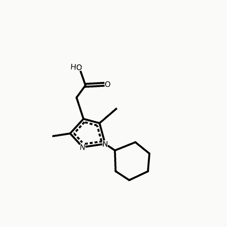 Cc1nn(C2CCCCC2)c(C)c1CC(=O)O